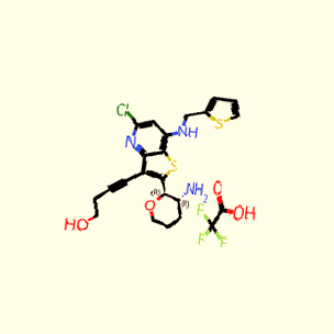 N[C@@H]1CCCO[C@H]1c1sc2c(NCc3cccs3)cc(Cl)nc2c1C#CCCO.O=C(O)C(F)(F)F